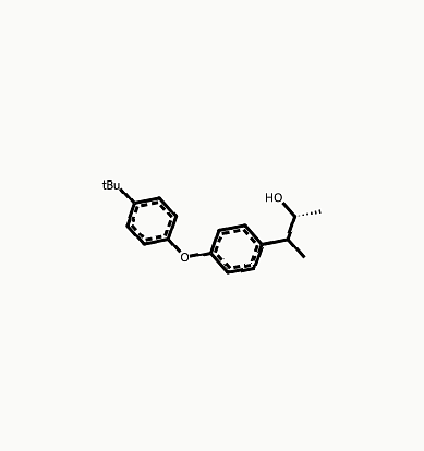 CC(c1ccc(Oc2ccc(C(C)(C)C)cc2)cc1)[C@@H](C)O